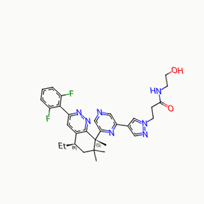 CC[C@@H]1CC(C)(C)[C@@](C)(c2cncc(-c3cnn(CCC(=O)NCCO)c3)n2)c2nnc(-c3c(F)cccc3F)cc21